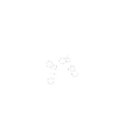 COCc1cccc2[nH]c(-c3n[nH]c4ncc(-c5cn(S(=O)(=O)c6ccccc6)c6ccccc56)cc34)nc12